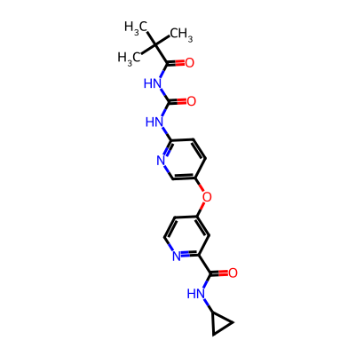 CC(C)(C)C(=O)NC(=O)Nc1ccc(Oc2ccnc(C(=O)NC3CC3)c2)cn1